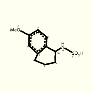 COc1ccc2c(c1)CCCC2NS(=O)(=O)O